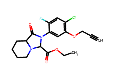 C#CCOc1cc(N2C(=O)C3CCCCN3C2C(=O)OCC)c(F)cc1Cl